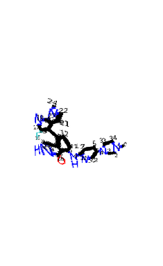 CN1CCN(c2ccc(Nc3ccc(-c4c(F)cnc5c4ccn5C)c4c3C(=O)NC4)nc2)CC1